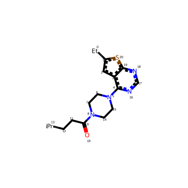 CCc1cc2c(N3CCN(C(=O)CCC(C)C)CC3)ncnc2s1